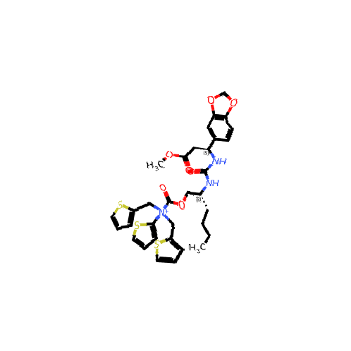 CCCC[C@H](COC(=O)[N+](Cc1cccs1)(Cc1cccs1)c1cccs1)NC(=O)N[C@@H](CC(=O)OC)c1ccc2c(c1)OCO2